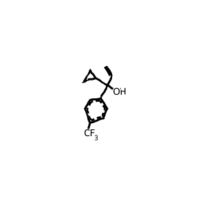 C=CC(O)(c1ccc(C(F)(F)F)cc1)C1CC1